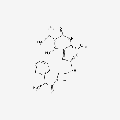 Cc1nc(NC2CN(C(=O)[C@@H](C)c3ccccc3)C2)nc2c1NC(=O)C(C(C)C)N2C